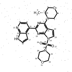 C[C@@H]1COCCN1c1nc(-c2ccnc3[nH]ccc23)nc2c1ccn2S(=O)(=O)N1CCOCC1